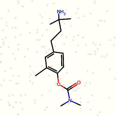 Cc1cc(CCC(C)(C)N)ccc1OC(=O)N(C)C